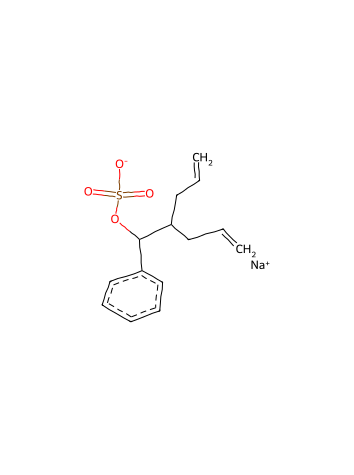 C=CCC(CC=C)C(OS(=O)(=O)[O-])c1ccccc1.[Na+]